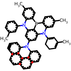 CC1=CCCC(N2c3cc(C)ccc3B3c4ccc(C)cc4N(c4cccc(C)c4)c4cc(N(c5cc#ccc5-c5ccccc5)c5ccccc5-c5ccccc5)cc2c43)=C1